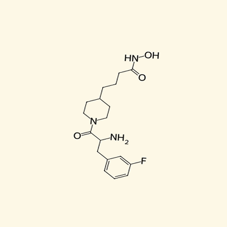 NC(Cc1cccc(F)c1)C(=O)N1CCC(CCCC(=O)NO)CC1